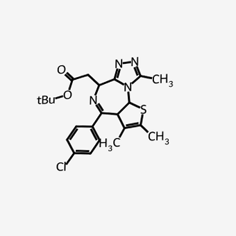 CC1=C(C)C2C(c3ccc(Cl)cc3)=NC(CC(=O)OC(C)(C)C)c3nnc(C)n3C2S1